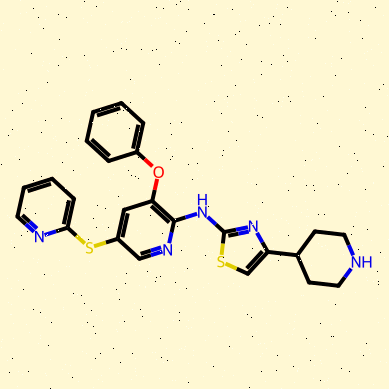 c1ccc(Oc2cc(Sc3ccccn3)cnc2Nc2nc(C3CCNCC3)cs2)cc1